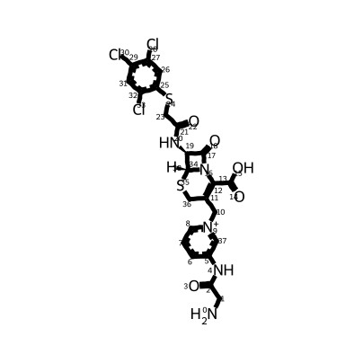 NCC(=O)Nc1ccc[n+](CC2=C(C(=O)O)N3C(=O)[C@H](NC(=O)CSc4cc(Cl)c(Cl)cc4Cl)[C@H]3SC2)c1